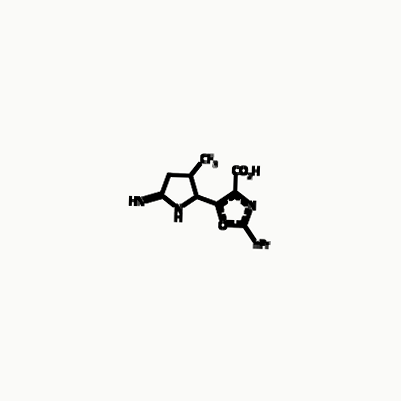 CCCc1nc(C(=O)O)c(C2NC(=N)CC2C(F)(F)F)o1